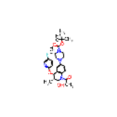 CC(=O)N1c2ccc(N3CCN(C(=O)OC(C)(C)C)[C@@H](C)C3)cc2[C@H](Oc2ccc(F)cn2)[C@@H](C)[C@@H]1O